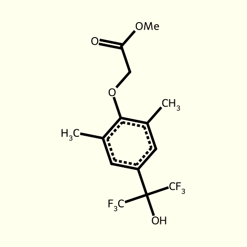 COC(=O)COc1c(C)cc(C(O)(C(F)(F)F)C(F)(F)F)cc1C